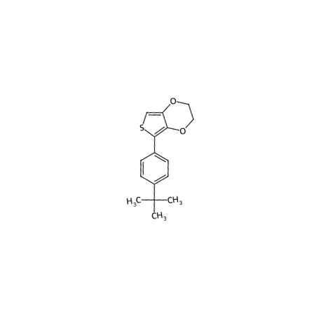 CC(C)(C)c1ccc(-c2scc3c2OCCO3)cc1